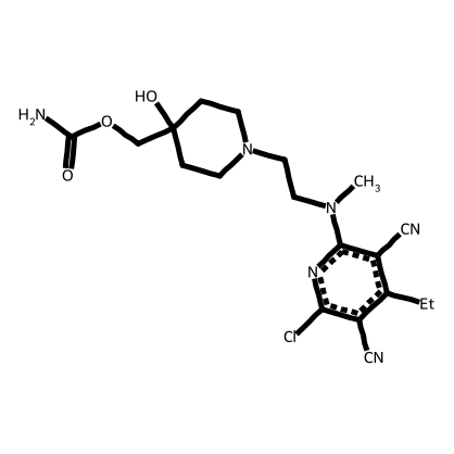 CCc1c(C#N)c(Cl)nc(N(C)CCN2CCC(O)(COC(N)=O)CC2)c1C#N